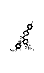 COc1ccc(Nc2cc(S(N)(=O)=O)ncc2C(=O)N2CCC(c3ccc(F)cc3)CC2)cc1F